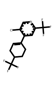 FC(F)(F)c1cc(C2=CCC(C(F)(F)F)CC2)c(Cl)cn1